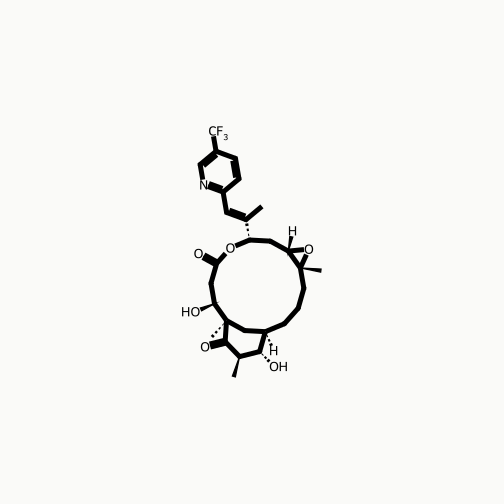 C/C(=C\c1ccc(C(F)(F)F)cn1)[C@@H]1C[C@@H]2O[C@]2(C)CCC[C@@H]2C[C@@](C)(C(=O)[C@H](C)[C@H]2O)[C@@H](O)CC(=O)O1